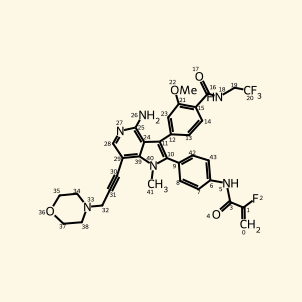 C=C(F)C(=O)Nc1ccc(-c2c(-c3ccc(C(=O)NCC(F)(F)F)c(OC)c3)c3c(N)ncc(C#CCN4CCOCC4)c3n2C)cc1